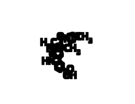 Cc1[nH]c(/C=C2\C(=O)Nc3ccc(C(=O)O)cc32)c(C)c1C(=O)N1CCN(C)CC1